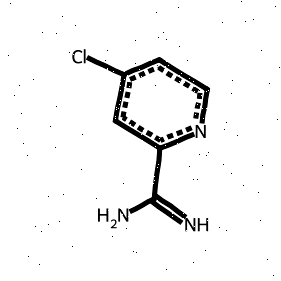 N=C(N)c1cc(Cl)ccn1